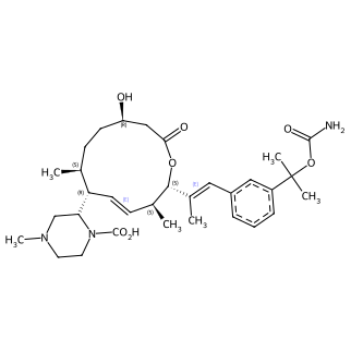 C/C(=C\c1cccc(C(C)(C)OC(N)=O)c1)[C@H]1OC(=O)C[C@H](O)CC[C@H](C)[C@@H](C2CN(C)CCN2C(=O)O)/C=C/[C@@H]1C